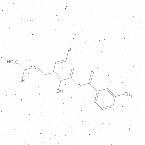 Cc1cccc(C(=O)Oc2cc(Cl)cc(C=NC(C(=O)O)C(C)C)c2O)c1